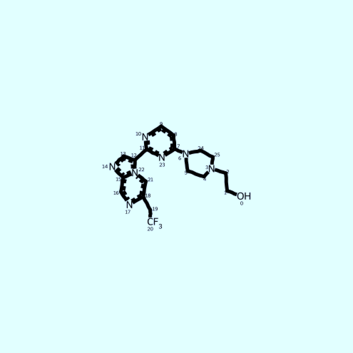 OCCN1CCN(c2ccnc(-c3cnc4cnc(CC(F)(F)F)cn34)n2)CC1